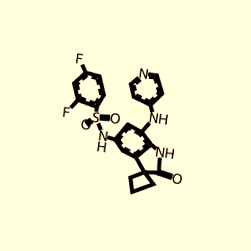 O=C1Nc2c(Nc3ccncc3)cc(NS(=O)(=O)c3ccc(F)cc3F)cc2C12CCC2